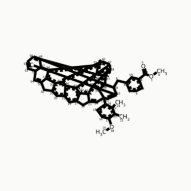 COC(=O)c1cccc(CC23C4=CC5(c6ccc(OC)c(C)c6C)C=C6Cc7cc8cc9c%10c%11c%12c%13c(c%14c2c5c2c6c7c5c8c%10c%13c5c2%14)C2=C3C(=CC(C=C%11C9)C2%12)C4)c1